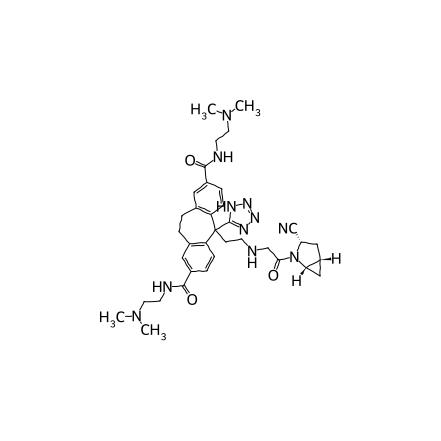 CN(C)CCNC(=O)c1ccc2c(c1)CCc1cc(C(=O)NCCN(C)C)ccc1C2(CCNCC(=O)N1[C@H](C#N)C[C@@H]2C[C@@H]21)c1nnn[nH]1